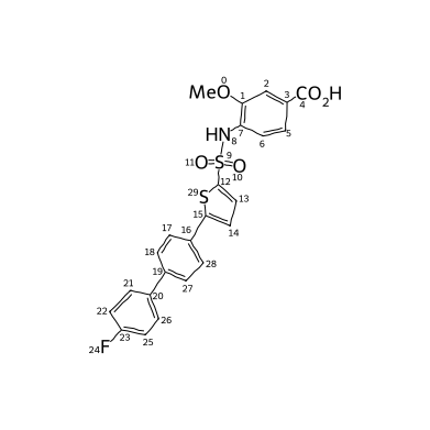 COc1cc(C(=O)O)ccc1NS(=O)(=O)c1ccc(-c2ccc(-c3ccc(F)cc3)cc2)s1